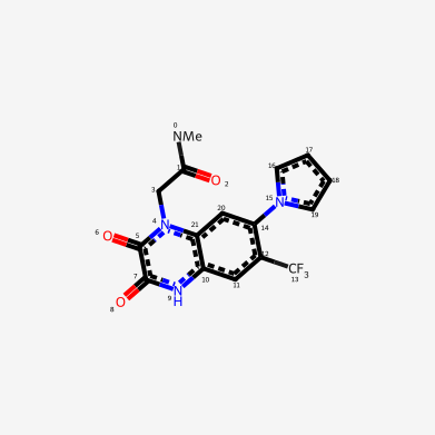 CNC(=O)Cn1c(=O)c(=O)[nH]c2cc(C(F)(F)F)c(-n3cccc3)cc21